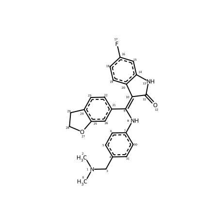 CN(C)Cc1ccc(N/C(=C2\C(=O)Nc3cc(F)ccc32)c2ccc3c(c2)OCC3)cc1